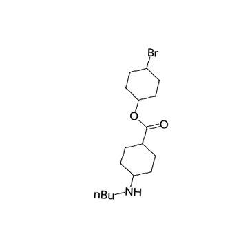 CCCCNC1CCC(C(=O)OC2CCC(Br)CC2)CC1